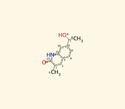 Cc1cc2ccc(C(C)O)cc2[nH]c1=O